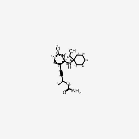 C[C@@H](C#Cc1cnc(Cl)nc1NC1(CO)CCCCC1)OC(N)=O